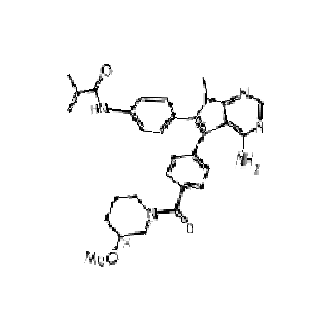 C=C(C)C(=O)Nc1ccc(-c2c(-c3ccc(C(=O)N4CCC[C@H](OC)C4)cc3)c3c(N)ncnc3n2C)cc1